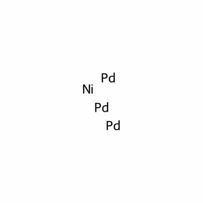 [Ni].[Pd].[Pd].[Pd]